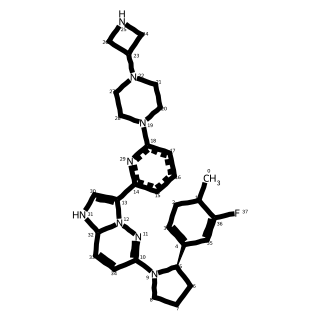 CC1CC=C([C@H]2CCCN2C2=NN3C(c4cccc(N5CCN(C6CNC6)CC5)n4)=CNC3C=C2)C=C1F